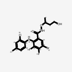 CC(CCO)ONC(=O)c1cc(Br)c(F)c(F)c1Nc1ccc(I)cc1Cl